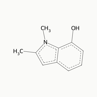 Cc1cc2cccc(O)c2n1C